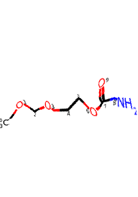 COCOCCOC(N)=O